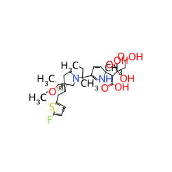 CCO[C@H](C)[C@]1(CCc2ccc(F)s2)CCN(C(C)(CC)C2=CNC(C)(C(C(=O)O)C(O)(CC(=O)O)C(=O)O)C=C2)C1